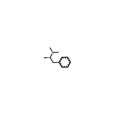 C[C@H](Cc1ccccc1)N(C)C